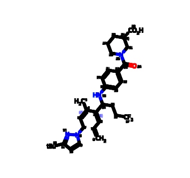 C=C/C=C(\C(C)=C/Cn1ccc(C(C)(C)C)n1)C(CCC(F)(F)F)Nc1ccc(C(=O)N2CCC[C@@H](C(=O)O)C2)cc1